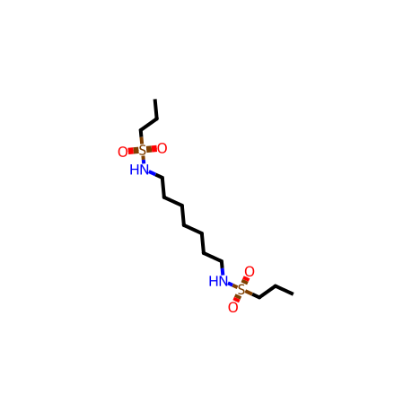 CCCS(=O)(=O)NCCCCCCCNS(=O)(=O)CCC